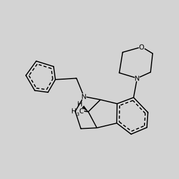 C[C@H]1C2CCN(Cc3ccccc3)C1c1c2cccc1N1CCOCC1